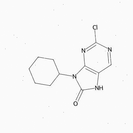 O=c1[nH]c2cnc(Cl)nc2n1C1CCCCC1